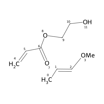 C/C=C/OC.C=CC(=O)OCCO